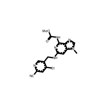 CCc1cc(C#N)ncc1CNc1cc2c(ncn2C)c(NC(=O)OC)n1